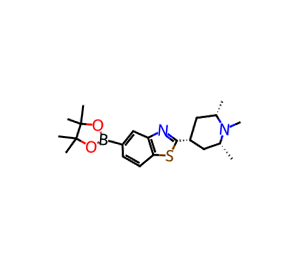 C[C@@H]1C[C@H](c2nc3cc(B4OC(C)(C)C(C)(C)O4)ccc3s2)C[C@H](C)N1C